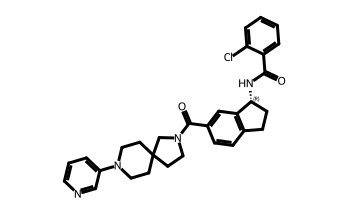 O=C(N[C@@H]1CCc2ccc(C(=O)N3CCC4(CCN(c5cccnc5)CC4)C3)cc21)c1ccccc1Cl